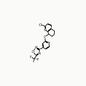 FC(F)(F)c1nc(-c2ccnc(OC3CCCc4ccc(Cl)nc43)c2)no1